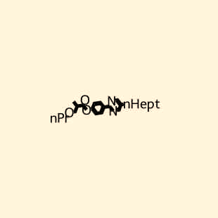 CCCCCCCc1cnc(-c2ccc(OC(=O)C(C)COCCC)cc2)nc1